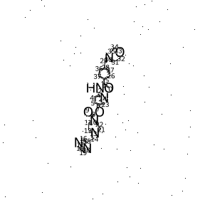 O=C(Nc1ccc(OC(=O)N2CCN(Cc3cnccn3)CC2)cn1)c1ccc(CN2CCOCC2)cc1